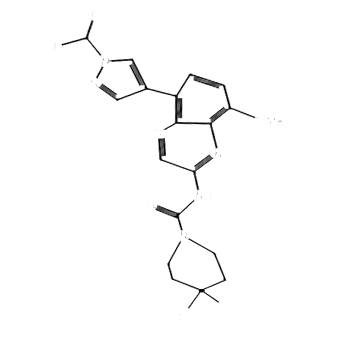 COc1ccc(-c2cnn(C(F)F)c2)c2ncc(NC(=O)N3CCC(C)(O)CC3)nc12